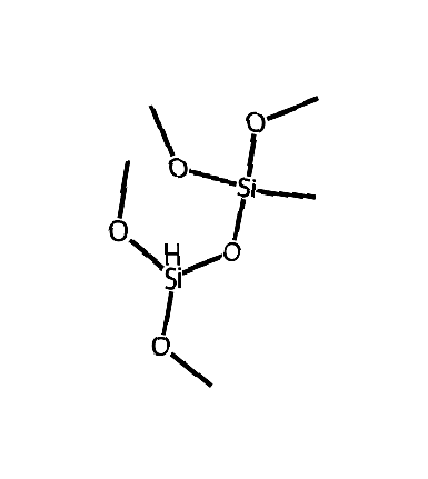 CO[SiH](OC)O[Si](C)(OC)OC